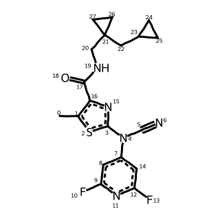 Cc1sc(N(C#N)c2cc(F)nc(F)c2)nc1C(=O)NCC1(CC2CC2)CC1